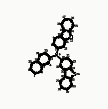 c1ccc2cc(N(c3ccc4c(c3)oc3ccccc34)c3ccc4sc5ccccc5c4c3)ccc2c1